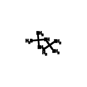 BC(B)(B)BC(B)(B)B